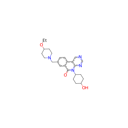 CCOC1CCN(Cc2ccc3c(c2)c(=O)n(C2CCC(O)CC2)c2ncncc32)CC1